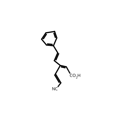 N#CC=CC(C=Cc1ccccc1)=CC(=O)O